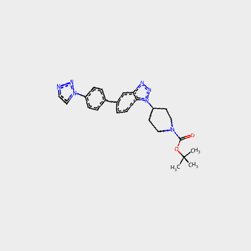 CC(C)(C)OC(=O)N1CCC(n2nnc3cc(-c4ccc(-n5ccnn5)cc4)ccc32)CC1